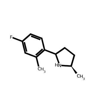 Cc1cc(F)ccc1C1CC[C@@H](C)N1